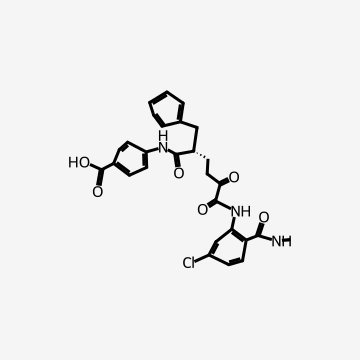 CNC(=O)c1ccc(Cl)cc1NC(=O)C(=O)CC[C@@H](Cc1ccccc1)C(=O)Nc1ccc(C(=O)O)cc1